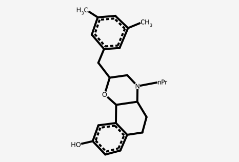 CCCN1CC(Cc2cc(C)cc(C)c2)OC2c3cc(O)ccc3CCC21